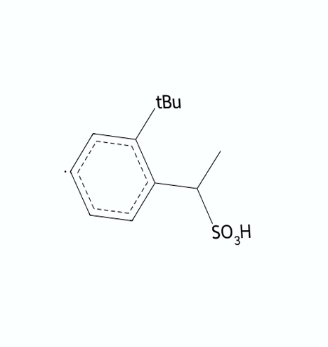 CC(c1cc[c]cc1C(C)(C)C)S(=O)(=O)O